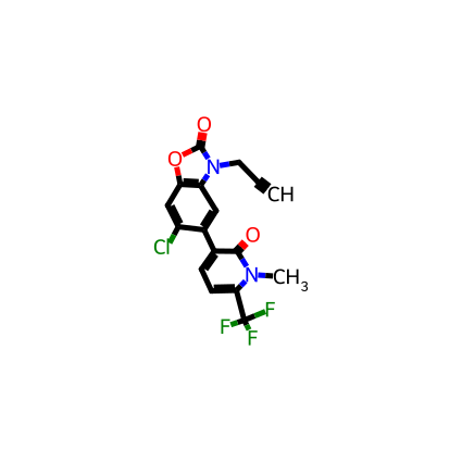 C#CCn1c(=O)oc2cc(Cl)c(-c3ccc(C(F)(F)F)n(C)c3=O)cc21